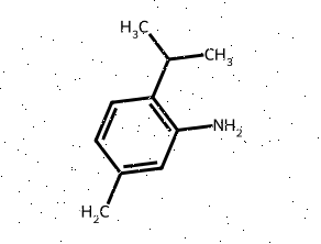 [CH2]c1ccc(C(C)C)c(N)c1